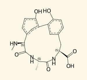 CN[C@@H]1C(=O)N[C@@H](C)C(=O)N[C@H](C(=O)O)Cc2ccc(O)c(c2)-c2cc1ccc2O